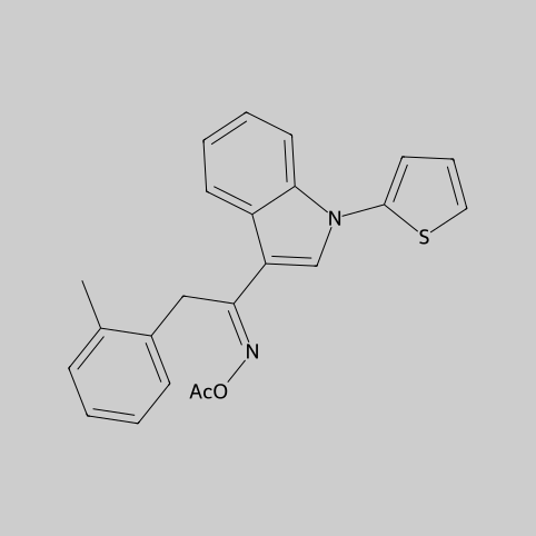 CC(=O)O/N=C(\Cc1ccccc1C)c1cn(-c2cccs2)c2ccccc12